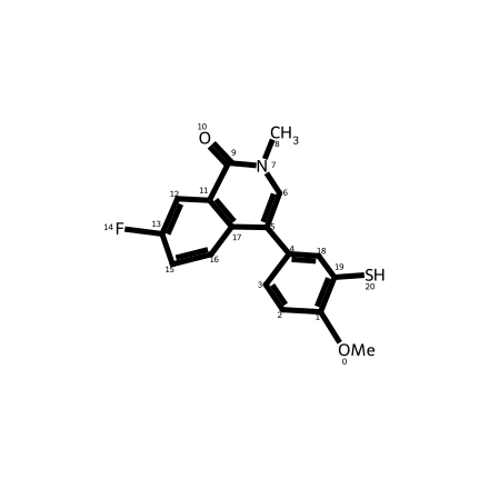 COc1ccc(-c2cn(C)c(=O)c3cc(F)ccc23)cc1S